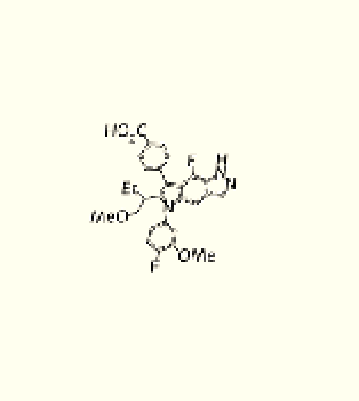 CCC(COC)c1c(-c2ccc(C(=O)O)cc2)c2c(F)c3[nH]ncc3cc2n1-c1ccc(F)c(OC)c1